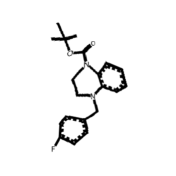 CC(C)(C)OC(=O)N1CCN(Cc2ccc(F)cc2)c2ccccc21